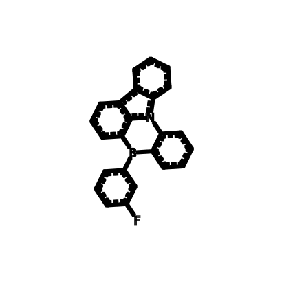 Fc1cccc(B2c3ccccc3-n3c4ccccc4c4cccc2c43)c1